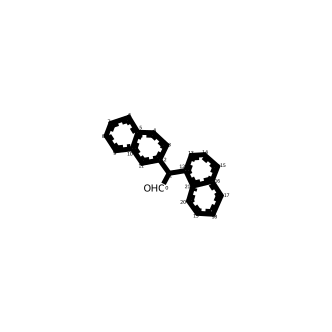 O=CC(c1ccc2ccccc2c1)c1cccc2ccccc12